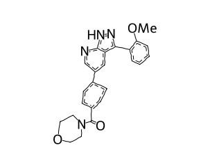 COc1ccccc1-c1n[nH]c2ncc(-c3ccc(C(=O)N4CCOCC4)cc3)cc12